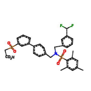 Cc1cc(C)c(S(=O)(=O)N(Cc2ccc(-c3cccc(S(=O)(=O)CC(=O)O)c3)cc2)Cc2cccc(C(F)F)c2)c(C)c1